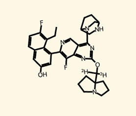 [2H]C([2H])(Oc1nc(N2CC3CCC2CN3)c2cnc(-c3cc(O)cc4ccc(F)c(CC)c34)c(F)c2n1)C12CCCN1CCC2